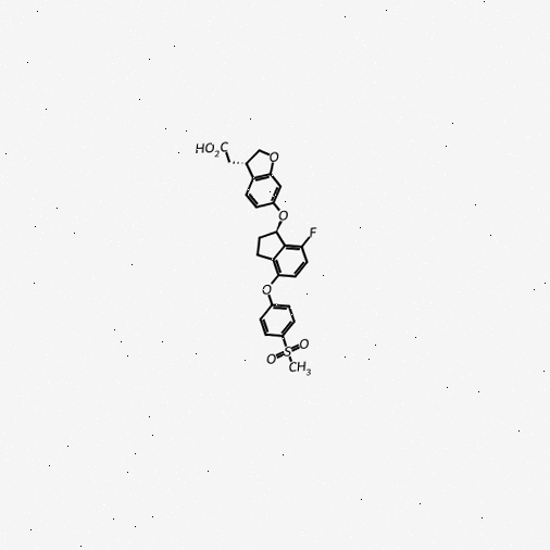 CS(=O)(=O)c1ccc(Oc2ccc(F)c3c2CC[C@H]3Oc2ccc3c(c2)OC[C@H]3CC(=O)O)cc1